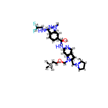 C[C@H]1CCCN1Cc1cc2cnc(NC(=O)c3ccc4c(NCC(F)F)nn(C)c4c3)cc2n1COCC[Si](C)(C)C